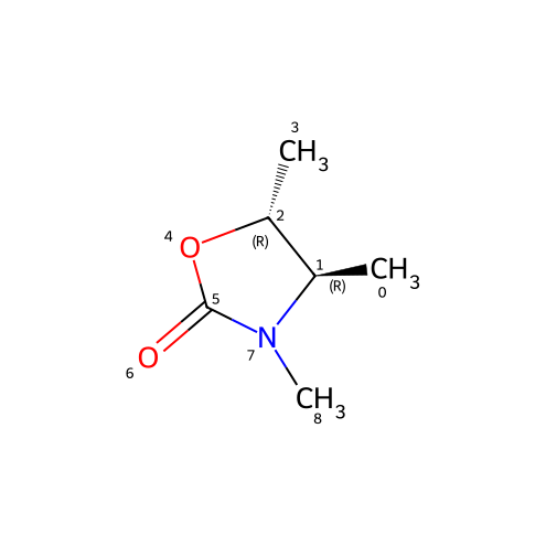 C[C@@H]1[C@@H](C)OC(=O)N1C